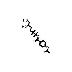 CC(C)Oc1ccc(C(=O)OC(C)(C)C(C)(C)SCC(O)CO)cc1